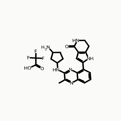 Cc1nc2cccc(-c3cc4c([nH]3)CCNC4=O)c2nc1NC1CCC(N)C1.O=C(O)C(F)(F)F